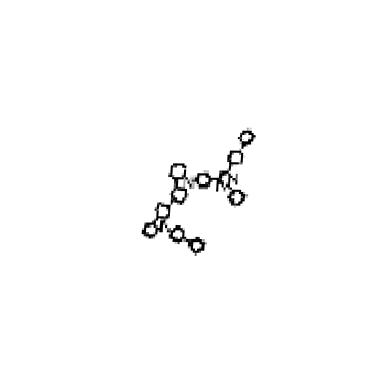 c1ccc(-c2ccc(-c3cc(-c4ccc(-n5c6ccccc6c6cc(-c7ccc8c9ccccc9n(-c9ccc(-c%10ccccc%10)cc9)c8c7)ccc65)cc4)nc(-c4ccccc4)n3)cc2)cc1